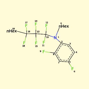 CCCCCCN(c1ccc(F)cc1F)C(F)(F)C(F)(F)C(F)(F)CCCCCC